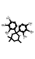 CC1CC(C)(C)CC(c2ccc(O)c(C(C)(C)C)c2C(C)(C)C)(c2ccc(O)c(C(C)(C)C)c2C(C)(C)C)C1